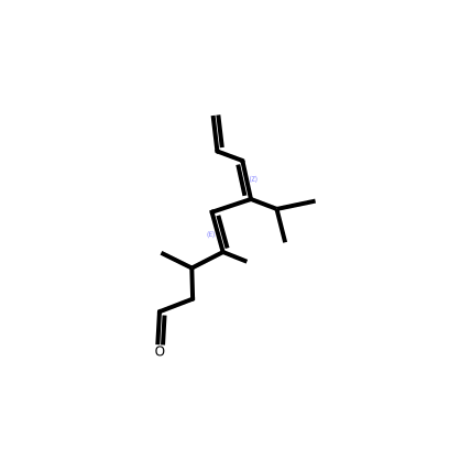 C=C/C=C(\C=C(/C)C(C)CC=O)C(C)C